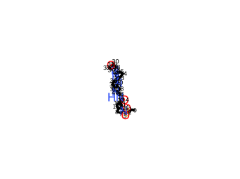 C=CCS(=O)(=O)N1CCc2ccc(C(=O)NCc3cc4nc(-c5cccc(N6C[C@@H](C)O[C@@H](C)C6)n5)ccc4cn3)cc21